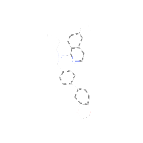 CC(C)(C)CCN(Cc1ccc(-c2ccc3c(c2)OCCO3)cc1)c1nccc2cc(C(=O)O)ccc12